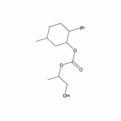 CC1CCC(C(C)C)C(OC(=O)OC(C)CO)C1